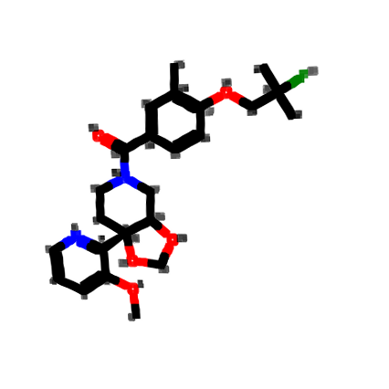 COc1cccnc1[C@@]12CCN(C(=O)c3ccc(OCC(C)(C)F)c(C)c3)CC1OCO2